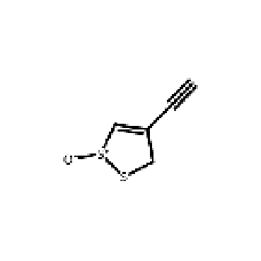 C#CC1=C[S+]([O-])SC1